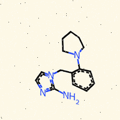 Nc1nccn1Cc1ccccc1N1CCCCC1